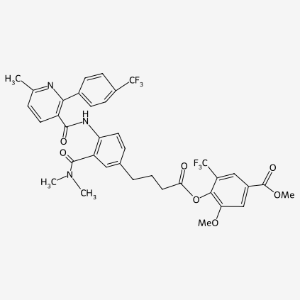 COC(=O)c1cc(OC)c(OC(=O)CCCc2ccc(NC(=O)c3ccc(C)nc3-c3ccc(C(F)(F)F)cc3)c(C(=O)N(C)C)c2)c(C(F)(F)F)c1